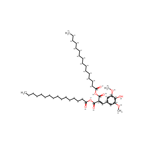 CCCCCCCCCCCCCCCC(=O)OC(=O)C(=Cc1cc(OC)c(O)c(OC)c1)C(=O)OC(=O)CCCCCCCCCCCCCCC